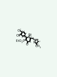 CCOC(=O)c1c(-c2ccc(Cl)c(Cl)c2)n(CC)c(Cn2ncc(C)n2)cc1=O